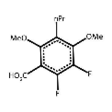 CCCc1c(OC)c(F)c(F)c(C(=O)O)c1OC